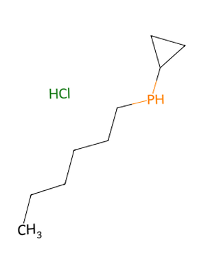 CCCCCCPC1CC1.Cl